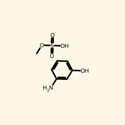 COS(=O)(=O)O.Nc1cccc(O)c1